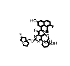 C#Cc1c(F)ccc2cc(O)cc(-c3nc4c5c(nc(OC[C@@]67CCCN6C[C@H](F)C7)nc5c3F)N3CCC[C@H](O)[C@@H]3CO4)c12